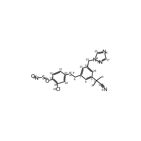 CC(C)(C#N)c1cc(CSc2ccc(OSN=O)c(Cl)c2)cc(Cn2cncn2)c1